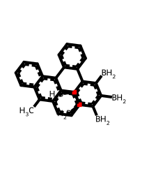 Bc1c(B)c(B)c(-c2ccccc2-c2c3ccccc3c(C)c3ccccc23)c(B)c1B